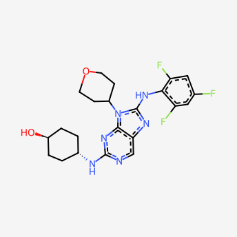 O[C@H]1CC[C@H](Nc2ncc3nc(Nc4c(F)cc(F)cc4F)n(C4CCOCC4)c3n2)CC1